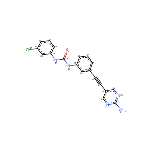 Nc1ncc(C#Cc2cccc(NC(=O)Nc3cccc(Cl)c3)c2)cn1